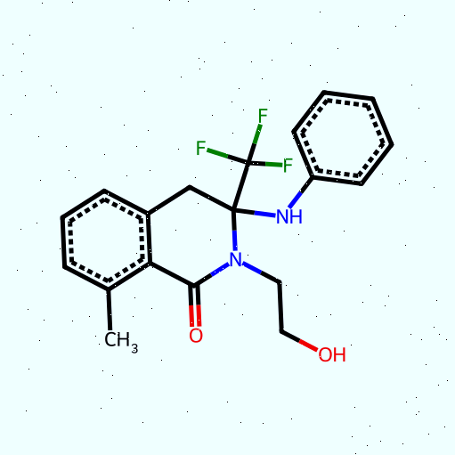 Cc1cccc2c1C(=O)N(CCO)C(Nc1ccccc1)(C(F)(F)F)C2